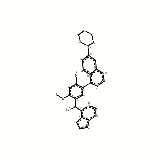 COc1cc(F)c(-c2ncnc3cc(N4CCOCC4)ccc23)cc1C(O)c1nccn2cccc12